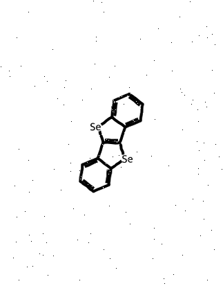 c1ccc2c(c1)[se]c1c3ccccc3[se]c21